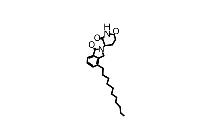 CCCCCCCCCCCc1cccc2c1CN(C1CCC(=O)NC1=O)C2=O